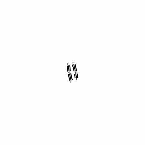 [P]#[Zn]#[P].[P]#[Zn]#[P]